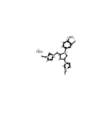 Cc1cc(N2CC(n3cc[n+](C)c3)CC2Cn2cc[n+](C)c2)ccc1N.[Cl-].[Cl-]